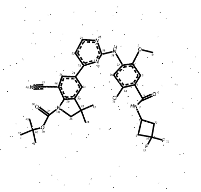 COc1cc(C(=O)NC2CC(F)(F)C2)c(Cl)cc1Nc1nccc(-c2cc(C#N)c3c(c2)C(C)(C)CN3C(=O)OC(C)(C)C)n1